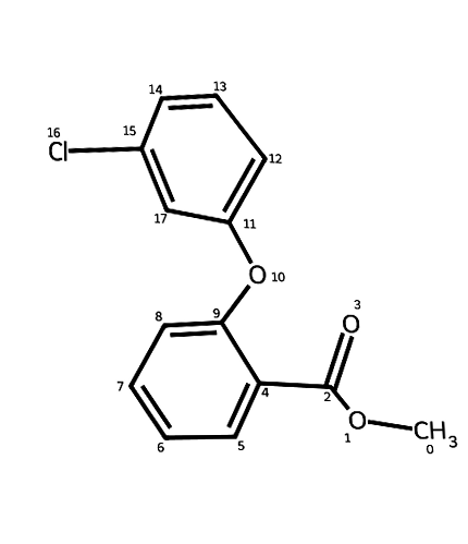 COC(=O)c1ccccc1Oc1cccc(Cl)c1